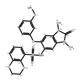 CCCOc1cccc(Oc2cc3c(cc2NS(=O)(=O)c2cccc4c2OCCO4)n(C)c(=O)n3C)c1